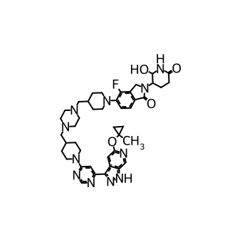 CC1(Oc2cc3c(-c4cc(N5CCC(CN6CCN(CC7CCN(c8ccc9c(c8F)CN(C8CCC(=O)NC8O)C9=O)CC7)CC6)CC5)ncn4)n[nH]c3cn2)CC1